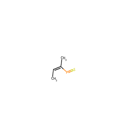 CC=C(C)P=S